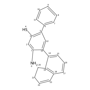 Nc1cc(S)c(-c2ccccc2)cc1-c1cccc2c1CCC=C2